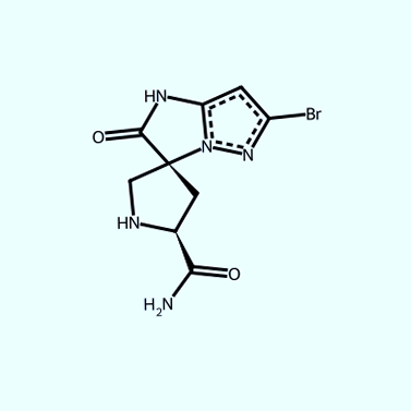 NC(=O)[C@@H]1C[C@@]2(CN1)C(=O)Nc1cc(Br)nn12